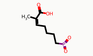 CC(=CCCCCP(=O)=O)C(=O)O